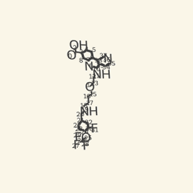 O=C(O)c1ccc2c(c1)nc(NCCOCCCCNCc1ccc(OC(F)(F)F)c(F)c1)c1ccncc12